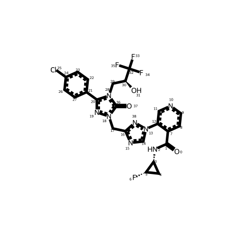 O=C(N[C@@H]1C[C@@H]1F)c1ccncc1-n1cnc(Cn2nc(-c3ccc(Cl)cc3)n(C[C@H](O)C(F)(F)F)c2=O)n1